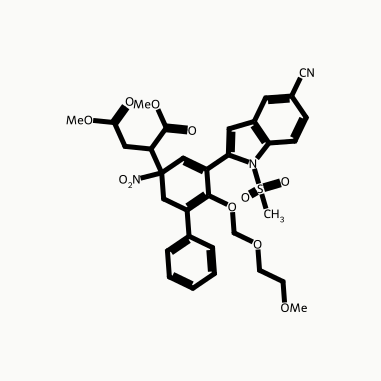 COCCOCOC1=C(c2ccccc2)CC(C(CC(=O)OC)C(=O)OC)([N+](=O)[O-])C=C1c1cc2cc(C#N)ccc2n1S(C)(=O)=O